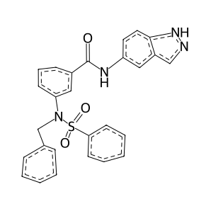 O=C(Nc1ccc2[nH]ncc2c1)c1cccc(N(Cc2ccccc2)S(=O)(=O)c2ccccc2)c1